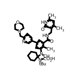 Cc1cc(C)c(CNC(=O)c2cc(-c3ccc(CN4CCOCC4)nc3)cc(N(C)C3(N(C(=O)O)C(C)(C)C)CCCCC3)c2C)c(=O)[nH]1